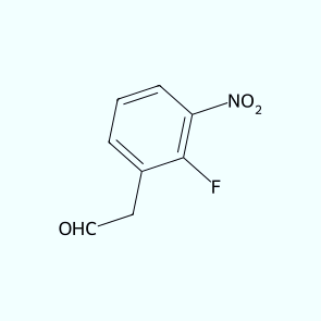 O=CCc1cccc([N+](=O)[O-])c1F